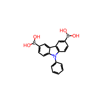 OB(O)c1ccc2c(c1)c1cc(B(O)O)ccc1n2-c1ccccc1